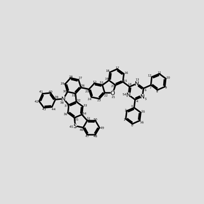 c1ccc(-c2nc(-c3ccccc3)nc(-c3cccc4c3oc3ccc(-c5cccc6c5c5cc7c(cc5n6-c5ccccc5)sc5ccccc57)cc34)n2)cc1